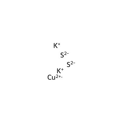 [Cu+2].[K+].[K+].[S-2].[S-2]